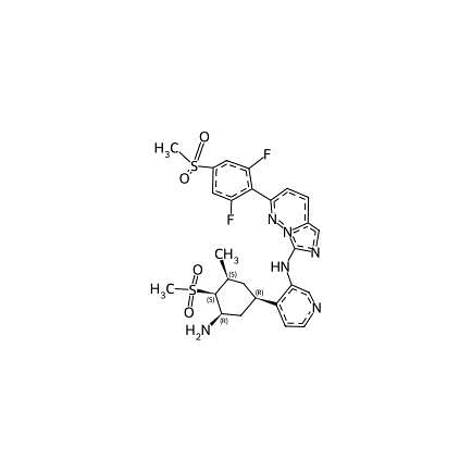 C[C@H]1C[C@@H](c2ccncc2Nc2ncc3ccc(-c4c(F)cc(S(C)(=O)=O)cc4F)nn23)C[C@@H](N)[C@H]1S(C)(=O)=O